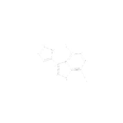 Fc1ccc(F)c2c1CC=C2c1cnc[nH]1